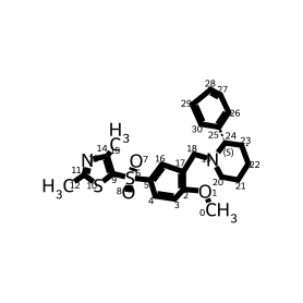 COc1ccc(S(=O)(=O)c2sc(C)nc2C)cc1CN1CCC[CH][C@H]1c1ccccc1